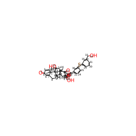 C[C@]12C=CC(=O)C=C1CC[C@@H]1[C@@H]2[C@@H](O)C[C@@]2(C)[C@H]1C[C@H]1O[C@@H](c3cccc(Sc4cccc(CO)c4)c3)O[C@]12C(=O)CO